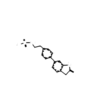 CCCS(=O)(=O)NC[C@H](C)c1ccc(-c2ccc3c(c2)NC(=O)C3)cc1